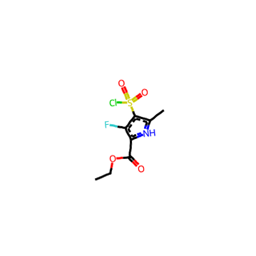 CCOC(=O)c1[nH]c(C)c(S(=O)(=O)Cl)c1F